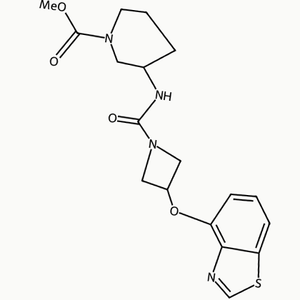 COC(=O)N1CCCC(NC(=O)N2CC(Oc3cccc4scnc34)C2)C1